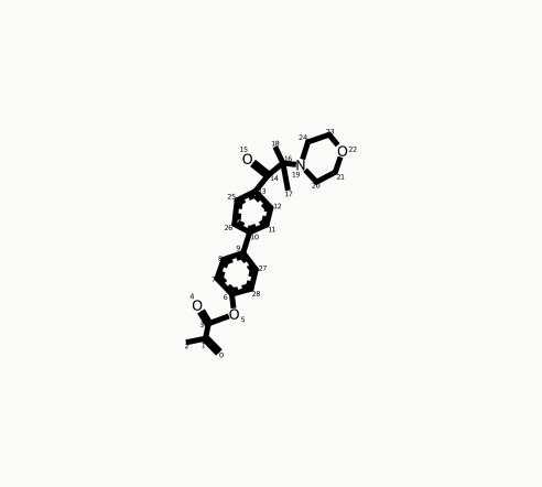 C=C(C)C(=O)Oc1ccc(-c2ccc(C(=O)C(C)(C)N3CCOCC3)cc2)cc1